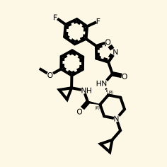 COc1ccccc1C1(NC(=O)[C@@H]2CN(CC3CC3)CC[C@H]2NC(=O)c2cc(-c3ccc(F)cc3F)on2)CC1